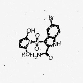 NC(=O)c1[nH]c2ccc(Br)cc2c1S(=O)(=O)n1c(O)ccc1O